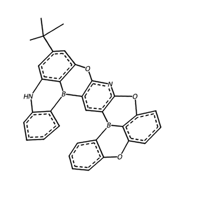 CC(C)(C)c1cc2c3c(c1)Oc1nc4c(cc1B3c1ccccc1N2)B1c2ccccc2Oc2cccc(c21)O4